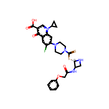 O=C(COc1ccccc1)NC1CN[C@H]1SC(=S)N1CCN(c2cc3c(cc2F)c(=O)c(C(=O)O)cn3C2CC2)CC1